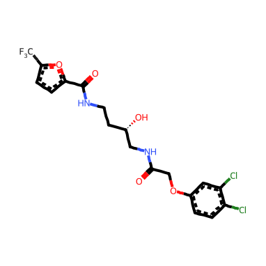 O=C(COc1ccc(Cl)c(Cl)c1)NC[C@@H](O)CCNC(=O)c1ccc(C(F)(F)F)o1